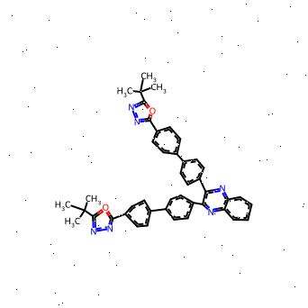 CC(C)(C)c1nnc(-c2ccc(-c3ccc(-c4nc5ccccc5nc4-c4ccc(-c5ccc(-c6nnc(C(C)(C)C)o6)cc5)cc4)cc3)cc2)o1